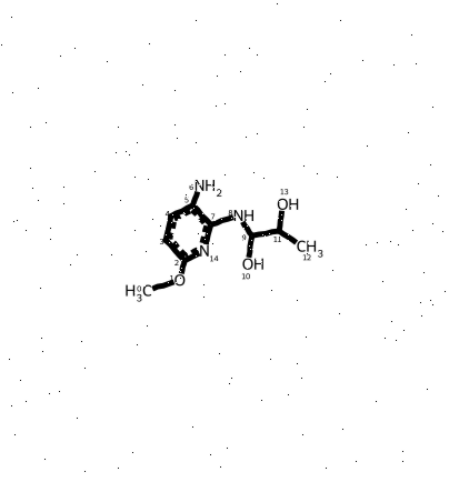 COc1ccc(N)c(NC(O)C(C)O)n1